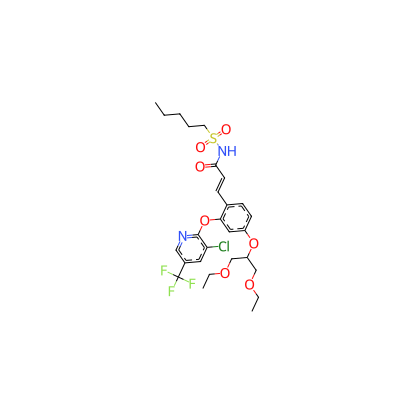 CCCCCS(=O)(=O)NC(=O)C=Cc1ccc(OC(COCC)COCC)cc1Oc1ncc(C(F)(F)F)cc1Cl